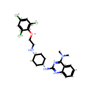 CN(C)c1nc(N[C@H]2CC[C@@H](NCCOc3c(Cl)cc(Cl)cc3Cl)CC2)nc2ccccc12